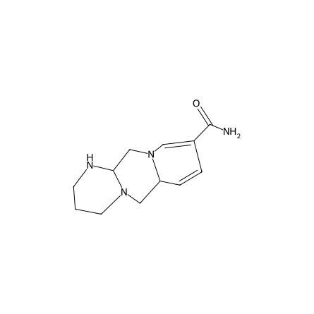 NC(=O)C1=CN2CC3NCCCN3CC2C=C1